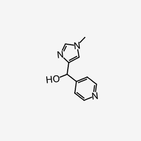 Cn1cnc(C(O)c2ccncc2)c1